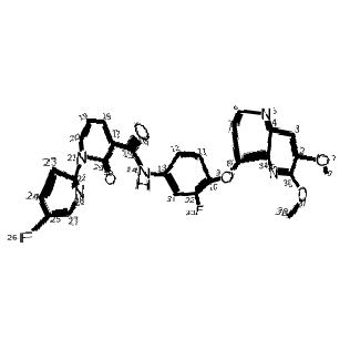 COc1cc2nccc(Oc3ccc(NC(=O)c4cccn(-c5ccc(F)cn5)c4=O)cc3F)c2nc1OC